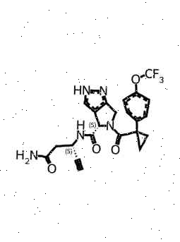 C#C[C@H](CC(N)=O)NC(=O)[C@@H]1c2c[nH]nc2CN1C(=O)C1(c2ccc(OC(F)(F)F)cc2)CC1